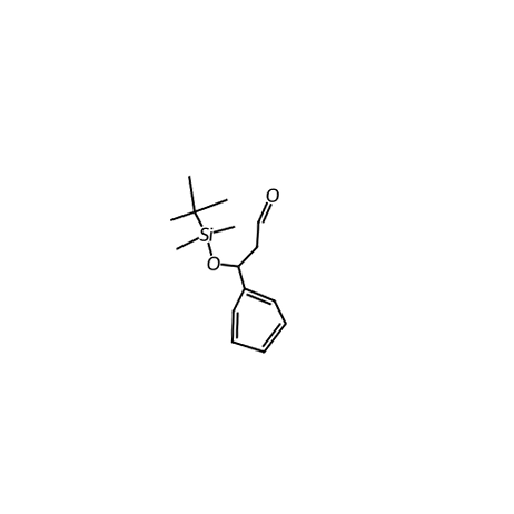 CC(C)(C)[Si](C)(C)OC(CC=O)c1ccccc1